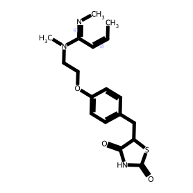 C/C=C\C(=N/C)N(C)CCOc1ccc(CC2SC(=O)NC2=O)cc1